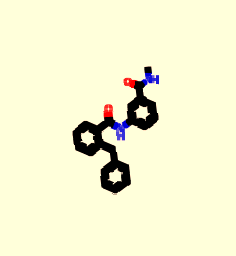 CNC(=O)c1cccc(NC(=O)c2ccccc2Cc2ccccc2)c1